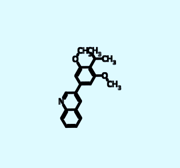 COc1cc(-c2cnc3ccccc3c2)cc(OC)c1C(C)C